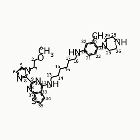 COCCn1ccnc1-c1nc(NCCCCCCNc2ccc(N3CCNCC3)c(C)c2)c2ccsc2n1